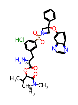 CC(C)C(OC(=O)[C@@H](N)Cc1cccc(S(=O)(=O)N2CC(Oc3ccc4nccnc4c3)(c3ccccc3)C2)c1)C(=O)N(C)C.Cl